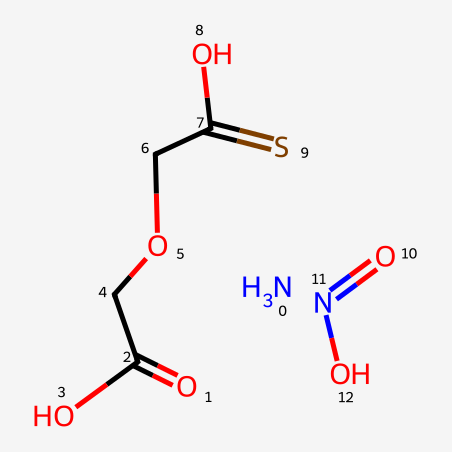 N.O=C(O)COCC(O)=S.O=NO